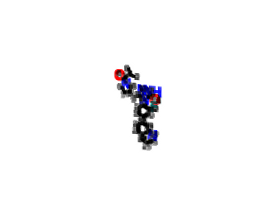 CC(C)C(=O)N1CC[C@@H](Cc2n[nH]c(=O)n2-c2ccc(-c3ccc4cccnc4c3)cc2F)C1